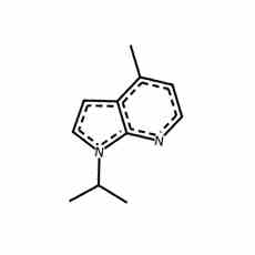 Cc1ccnc2c1ccn2C(C)C